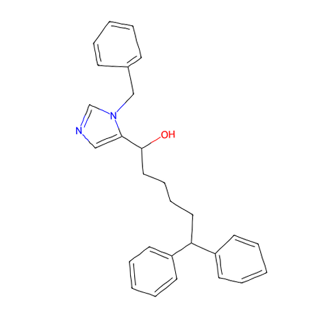 OC(CCCCC(c1ccccc1)c1ccccc1)c1cncn1Cc1ccccc1